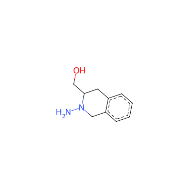 NN1Cc2ccccc2CC1CO